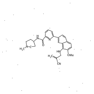 C=C(C#N)CNc1c(OC)ccc2ccc(-c3cccc(C(=O)NC4CCN(C)CC4)n3)cc12